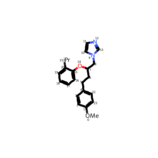 COc1ccc(CCC(Cn2ccnc2)Oc2ccccc2C(C)C)cc1